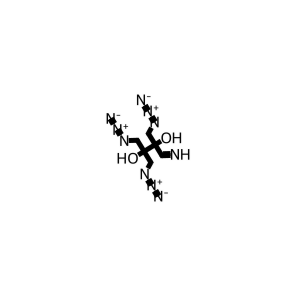 [N-]=[N+]=NCC(O)(C=N)C(O)(CN=[N+]=[N-])CN=[N+]=[N-]